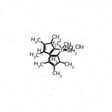 CC1=C(C)C(C)[C]([Ti]([CH3])([CH3])(=[SiH2])[C]2=C(C)C(C)=C(C)C2C)=C1C.Cl.Cl